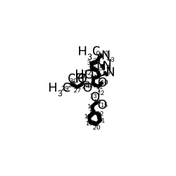 Cc1ncnn2c([C@]3(C#N)O[C@H](COC(=O)Cc4ccccc4)[C@@H](OC(=O)CC(C)C)[C@H]3O)ccc12